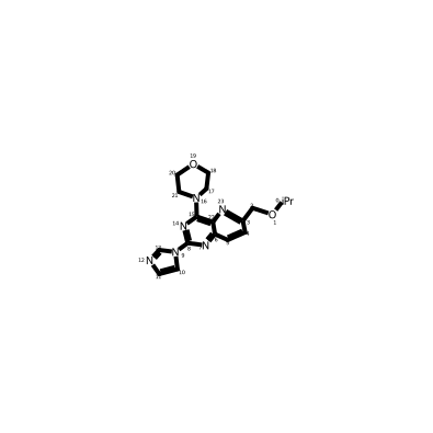 CC(C)OCc1ccc2nc(-n3ccnc3)nc(N3CCOCC3)c2n1